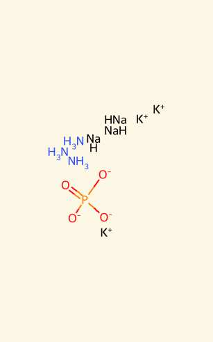 N.N.N.O=P([O-])([O-])[O-].[K+].[K+].[K+].[NaH].[NaH].[NaH]